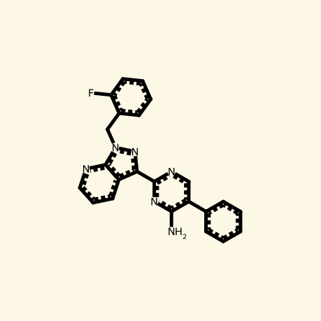 Nc1nc(-c2nn(Cc3ccccc3F)c3ncccc23)ncc1-c1ccccc1